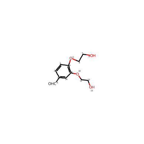 O=Cc1ccc(OCCO)c(OCCO)c1